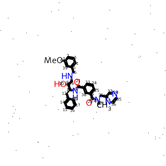 COc1cccc(CNC[C@@H](O)[C@H](Cc2ccccc2)NC(=O)c2cccc(C(=O)N(C)Cc3cnccn3)c2)c1